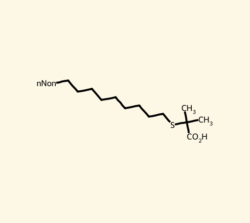 CCCCCCCCCCCCCCCCCCSC(C)(C)C(=O)O